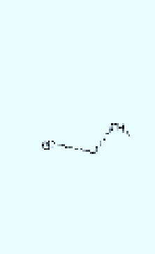 CCCCCCCC/C=C\CCCCCCCCC=C=O